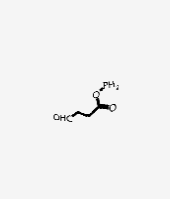 O=CCCC(=O)OP